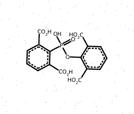 O=C(O)c1cccc(C(=O)O)c1OP(=O)(O)c1c(C(=O)O)cccc1C(=O)O